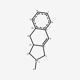 CN1CC2=Cc3ccccc3CC2C1